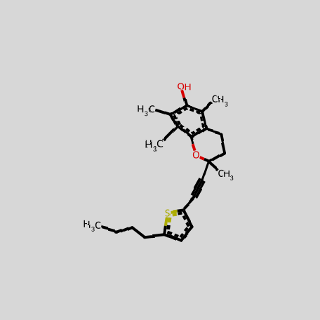 CCCCc1ccc(C#CC2(C)CCc3c(C)c(O)c(C)c(C)c3O2)s1